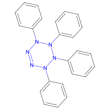 c1ccc(-n2nnn(-c3ccccc3)n(-c3ccccc3)n2-c2ccccc2)cc1